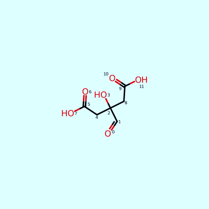 O=CC(O)(CC(=O)O)CC(=O)O